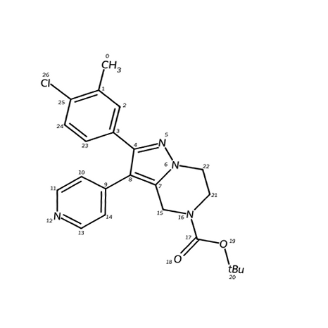 Cc1cc(-c2nn3c(c2-c2ccncc2)CN(C(=O)OC(C)(C)C)CC3)ccc1Cl